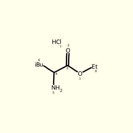 CCOC(=O)C(N)C(C)CC.Cl